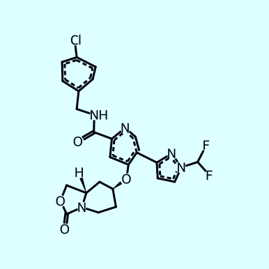 O=C(NCc1ccc(Cl)cc1)c1cc(O[C@H]2CCN3C(=O)OC[C@@H]3C2)c(-c2ccn(C(F)F)n2)cn1